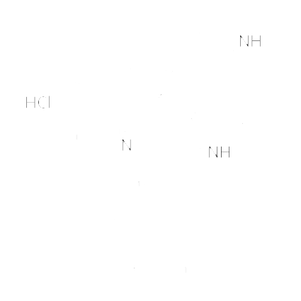 Cl.c1ccc2c(c1)NC1(CCNCC1)c1cccn1-2